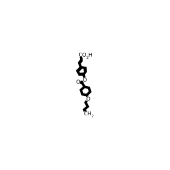 C=CCCOC1CCC(C(=O)Oc2ccc(/C=C/C(=O)O)cc2)CC1